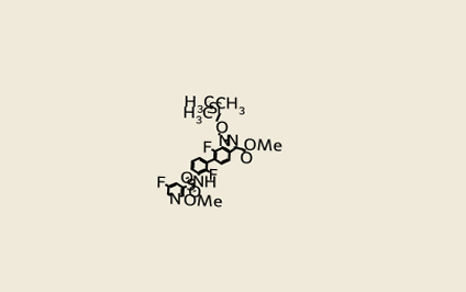 COC(=O)c1nn(COCC[Si](C)(C)C)c2c(F)c(-c3cccc(NS(=O)(=O)c4cc(F)cnc4OC)c3F)ccc12